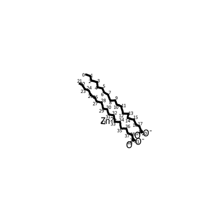 CCCCCCCCCCCCCCCCCCC(=O)[O-].CCCCCCCCCCCCCCCCCCC(=O)[O-].[Zn+2]